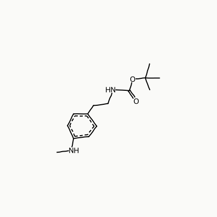 CNc1ccc(CCNC(=O)OC(C)(C)C)cc1